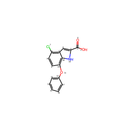 O=C(O)c1cc2c(Cl)ccc(Oc3ccccc3)c2[nH]1